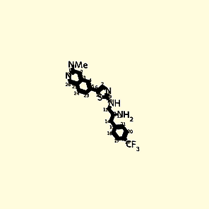 CNc1cc2cc(-c3cnc(NC[C@@H](N)Cc4ccc(C(F)(F)F)cc4)s3)ccc2cn1